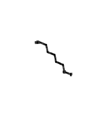 CCCCCCCCOF